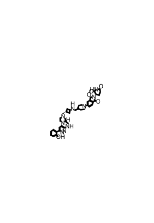 O=C1CCC(N2C(=O)c3ccc(N4CCC(CN[C@H]5C[C@@H](CN6CCN7c8cc(-c9ccccc9O)nnc8NC[C@H]7C6)C5)CC4)cc3C2=O)C(=O)N1